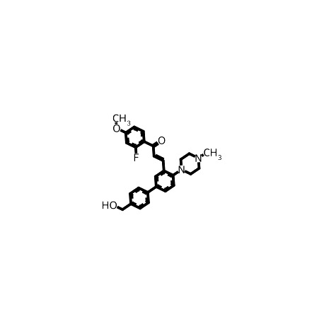 COc1ccc(C(=O)C=Cc2cc(-c3ccc(CO)cc3)ccc2N2CCN(C)CC2)c(F)c1